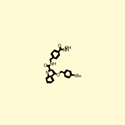 CC(C)(C)c1ccc(COc2cc(C(=O)NCc3ccc(C(=O)NO)cc3)nc3ccccc23)cc1